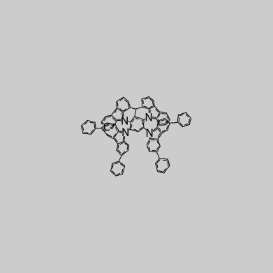 c1ccc(-c2ccc3c(c2)c2cc(-c4ccccc4)ccc2n3-c2cc(-n3c4ccc(-c5ccccc5)cc4c4cc(-c5ccccc5)ccc43)c3c4c2-n2c5ccccc5c5cccc(c52)C4c2cccc4c5ccccc5n-3c24)cc1